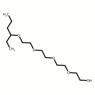 CCCC(CC)OCCOCCOCCOCCO